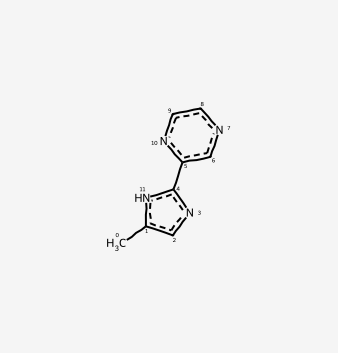 Cc1cnc(-c2cnccn2)[nH]1